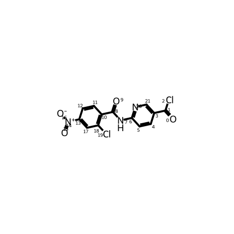 O=C(Cl)c1ccc(NC(=O)c2ccc([N+](=O)[O-])cc2Cl)nc1